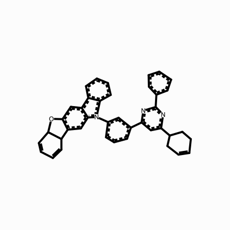 C1=CC2Oc3cc4c5ccccc5n(-c5cccc(-c6cc(C7CC=CCC7)nc(-c7ccccc7)n6)c5)c4cc3C2C=C1